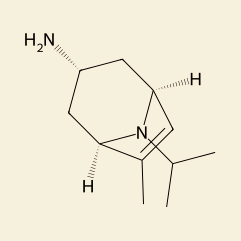 CC1=C[C@@H]2C[C@@H](N)C[C@H]1N2C(C)C